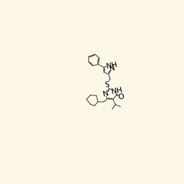 CC(C)c1c(CC2CCCCC2)nc(SCc2cc(-c3ccccc3)[nH]n2)[nH]c1=O